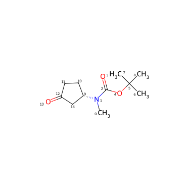 CN(C(=O)OC(C)(C)C)[C@H]1CCC(=O)C1